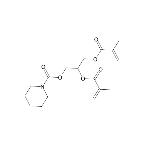 C=C(C)C(=O)OCC(COC(=O)N1CCCCC1)OC(=O)C(=C)C